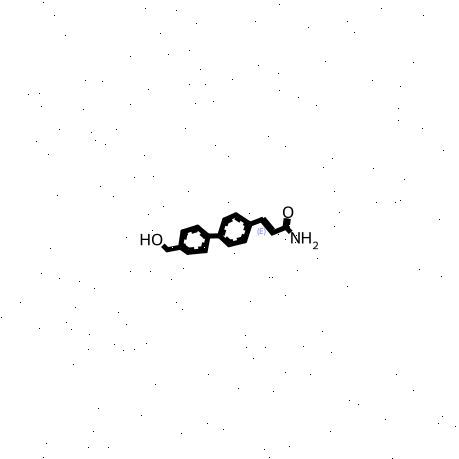 NC(=O)/C=C/c1ccc(-c2ccc(CO)cc2)cc1